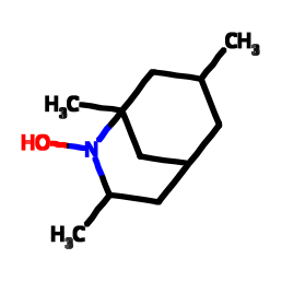 CC1CC2CC(C)N(O)C(C)(C1)C2